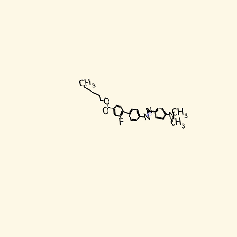 CCCCCCOC(=O)c1ccc(-c2ccc(/N=N/c3ccc(N(C)C)cc3)cc2)c(F)c1